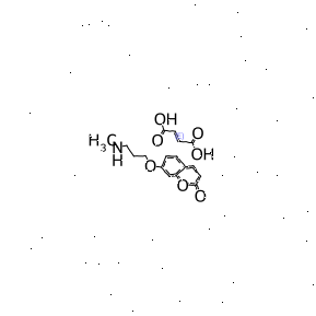 CNCCCOc1ccc2ccc(=O)oc2c1.O=C(O)/C=C/C(=O)O